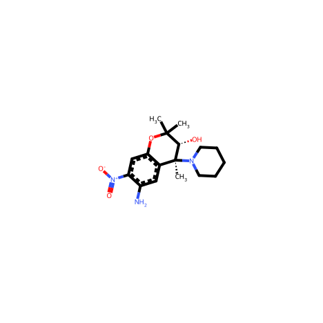 CC1(C)Oc2cc([N+](=O)[O-])c(N)cc2[C@](C)(N2CCCCC2)[C@H]1O